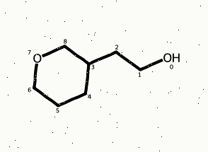 OCCC1CCCOC1